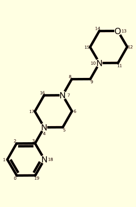 c1ccc(N2CCN(CCN3CCOCC3)CC2)nc1